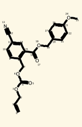 C=CCOC(=O)OCc1ccc(C#N)cc1C(=O)OCc1ccc(OC)cc1